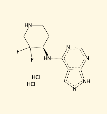 Cl.Cl.FC1(F)CNCC[C@H]1Nc1ncnc2[nH]ncc12